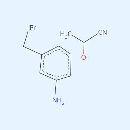 CC(C)Cc1cccc(N)c1.CC([O])C#N